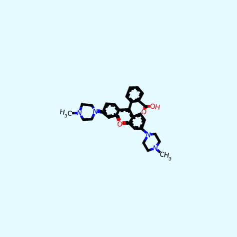 CN1CCN(c2ccc3c(-c4ccccc4C(=O)O)c4ccc(=[N+]5CCN(C)CC5)cc-4oc3c2)CC1